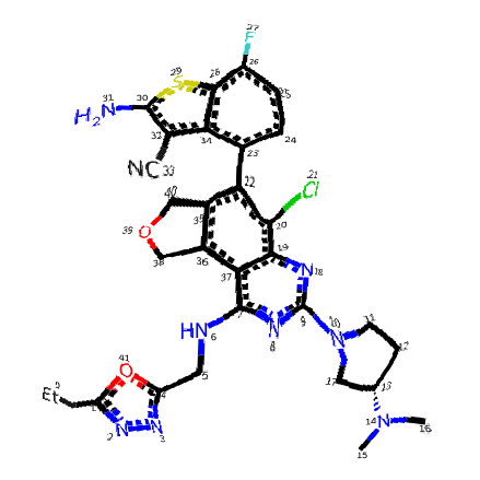 CCc1nnc(CNc2nc(N3CC[C@H](N(C)C)C3)nc3c(Cl)c(-c4ccc(F)c5sc(N)c(C#N)c45)c4c(c23)COC4)o1